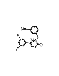 N#Cc1cccc(Cn2nc(-c3cc(F)cc(F)c3)ccc2=O)c1